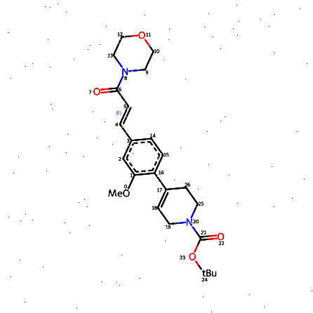 COc1cc(/C=C/C(=O)N2CCOCC2)ccc1C1=CCN(C(=O)OC(C)(C)C)CC1